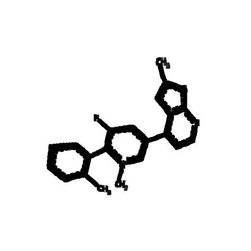 Cc1cc2c(-c3cc(F)c(-c4ccccc4C)[n+](C)c3)ccnc2s1